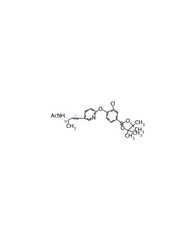 CC(=O)N[C@@H](C)/C=C/c1ccc(Oc2ccc(B3OC(C)(C)C(C)(C)O3)cc2Cl)nc1